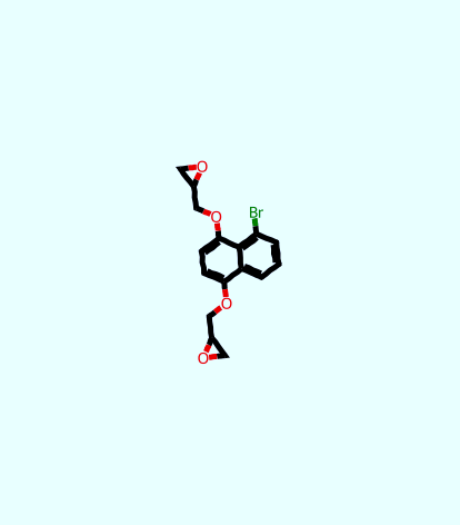 Brc1cccc2c(OCC3CO3)ccc(OCC3CO3)c12